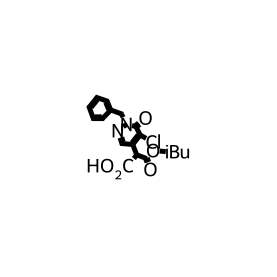 CCC(C)OC(=O)C(C(=O)O)c1cnn(Cc2ccccc2)c(=O)c1Cl